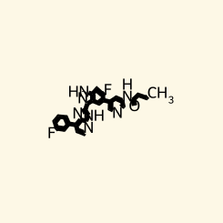 CCCC(=O)Nc1cncc(-c2cc3c(-c4nc5c(-c6cccc(F)c6)ccnc5[nH]4)n[nH]c3cc2F)c1